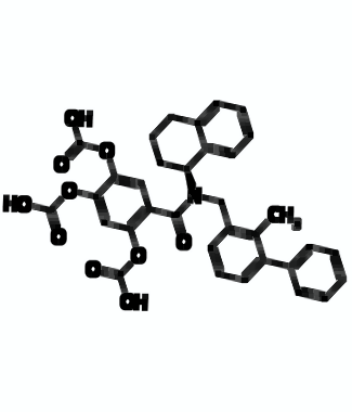 Cc1c(CN(C(=O)c2cc(OC(=O)O)c(OC(=O)O)cc2OC(=O)O)[C@H]2CCCc3ccccc32)cccc1-c1ccccc1